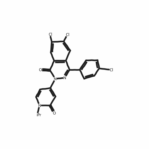 CC(C)n1ccc(-n2nc(-c3ccc(Cl)cc3)c3cc(Cl)c(Cl)cc3c2=O)cc1=O